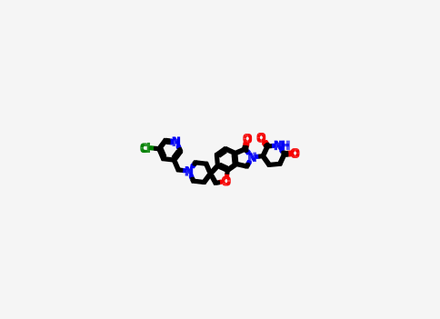 O=C1CCC(N2Cc3c(ccc4c3OCC43CCN(Cc4cncc(Cl)c4)CC3)C2=O)C(=O)N1